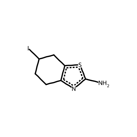 Nc1nc2c(s1)CC(I)CC2